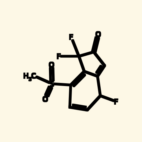 CS(=O)(=O)C1=C2C(=CC(=O)C2(F)F)C(F)C=C1